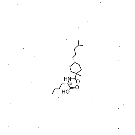 CCCC[C@H](NC(=O)[C@]1(C)CC[C@H](CCCC(C)C)CC1)C(=O)O